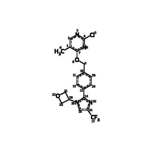 Cc1cnc(Cl)nc1OCc1ccc(-c2nc(C(F)(F)F)cn2C2COC2)cc1